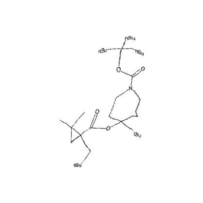 CCCCC(CCCC)(CCCC)OC(=O)N1CCC(OC(=O)C2(CC(C)(C)C)CC2(C)C)(C(C)(C)C)CC1